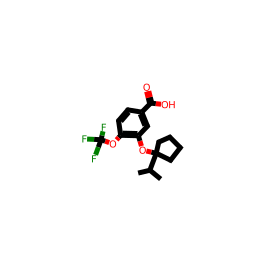 CC(C)C1(Oc2cc(C(=O)O)ccc2OC(F)(F)F)CCCC1